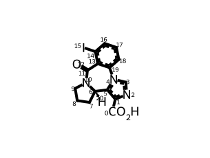 O=C(O)c1ncn2c1[C@@H]1CCCN1C(=O)c1c(I)cccc1-2